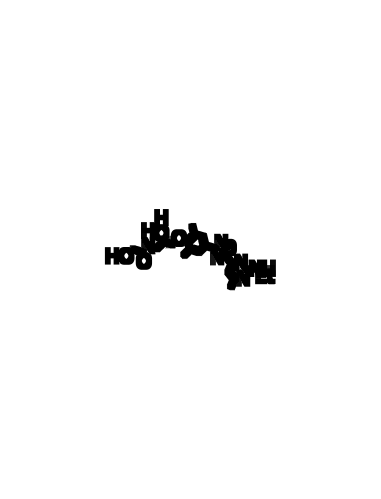 CCNc1nc(C)cc(-c2nc(-c3cc(C)c(OC[C@@H](O)CNC(=O)CO)c(C)c3)no2)n1